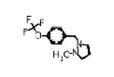 CN1CC=CN1Cc1ccc(OC(F)(F)F)cc1